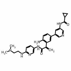 C=C(C(=O)Nc1ccc(NCCN(C)C)nc1)c1cc(-c2cncc(NC(=O)C3CC3)c2)ccc1N